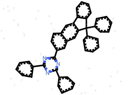 c1ccc(-c2nc(-c3ccccc3)nc(-c3ccc4cc5c(cc4c3)C(c3ccccc3)(c3ccccc3)c3ccccc3-5)n2)cc1